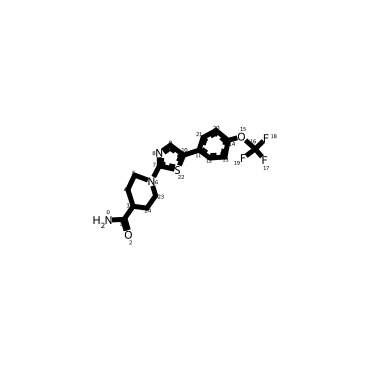 NC(=O)C1CCN(c2ncc(-c3ccc(OC(F)(F)F)cc3)s2)CC1